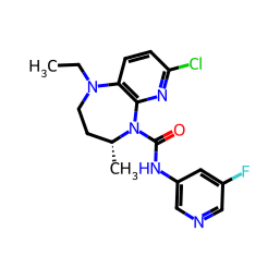 CCN1CC[C@@H](C)N(C(=O)Nc2cncc(F)c2)c2nc(Cl)ccc21